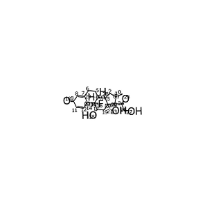 C[C@@H]1C[C@H]2[C@@H]3CCC4=CC(=O)C=C[C@]4(C)[C@@]3(F)C(O)C[C@]2(C)[C@@]1(O)C(=O)CO